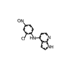 O=Nc1ccc(Nc2ccnc3[nH]ccc23)c(Cl)c1